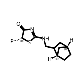 CC(C)[C@H]1SC(NCC2C[C@@H]3CC[C@H]2C3)=NC1=O